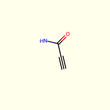 C#CC([NH])=O